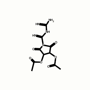 CC(=O)OC1C(=O)N(C(=N)NC(=N)N)C(=O)C1OC(C)=O